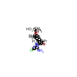 CC(C)C1=C2[C@H]3CC[C@@H]4[C@@]5(C)CC[C@H](OC(=O)CC(C)(C)C(=O)O)C(C)(C)[C@@H]5CC[C@@]4(C)[C@]3(C)CC[C@@]2(Cc2nnc(-c3ccc(Cl)cn3)n2CCN)CC1=O